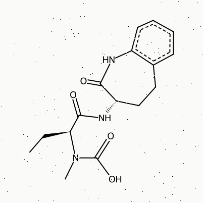 CC[C@@H](C(=O)N[C@H]1CCc2ccccc2NC1=O)N(C)C(=O)O